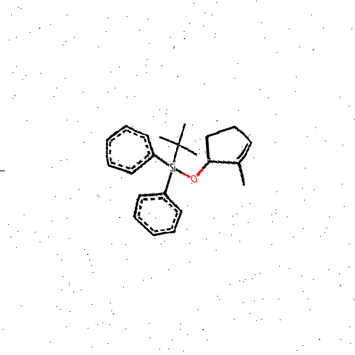 CC1=CCCC1O[Si](c1ccccc1)(c1ccccc1)C(C)(C)C